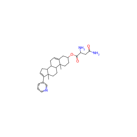 CC12CCC(OC(=O)C(N)CC(N)=O)CC1=CCC1C2CCC2(C)C(c3cccnc3)=CCC12